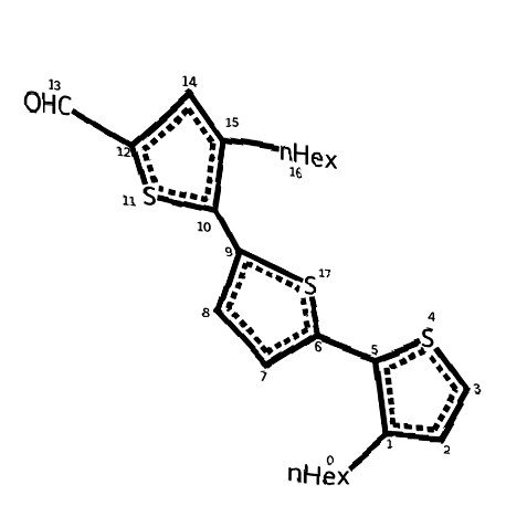 CCCCCCc1ccsc1-c1ccc(-c2sc(C=O)cc2CCCCCC)s1